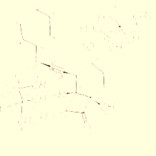 CC1C(=O)[C@@]2(C)CC[C@@H](O[Si](C)(C)C(C)(C)C)[C@H](C#C[C@@H](O[Si](C)(C)C(C)(C)C)C3CCCCC3)[C@@H]12